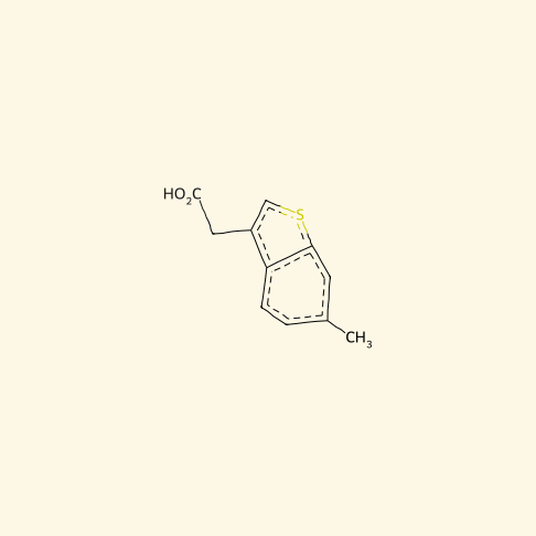 Cc1ccc2c(CC(=O)O)csc2c1